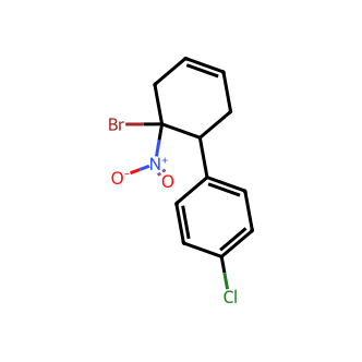 O=[N+]([O-])C1(Br)CC=CCC1c1ccc(Cl)cc1